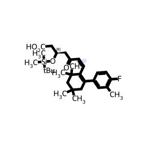 Cc1cc(C2=C(/C=C\C(=O)C[C@H](CC(=O)O)O[Si](C)(C)C(C)(C)C)C(C)(C)CC(C)(C)C2)ccc1F